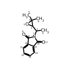 CC(C1OC1(C)C)N1C(=O)c2ccccc2C1=O